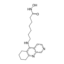 O=C(CCCCCCNc1c2c(nc3cnccc13)CCCC2)NO